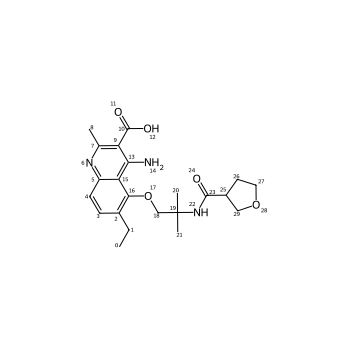 CCc1ccc2nc(C)c(C(=O)O)c(N)c2c1OCC(C)(C)NC(=O)C1CCOC1